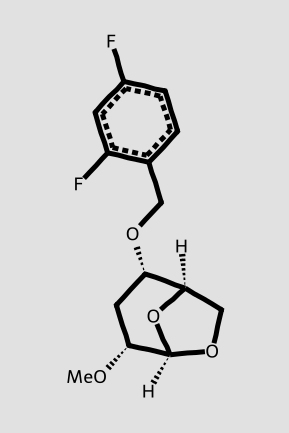 CO[C@@H]1C[C@H](OCc2ccc(F)cc2F)[C@H]2CO[C@@H]1O2